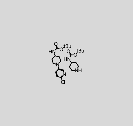 CC(C)(C)OC(=O)NC1CCN(c2ccc(Cl)nc2)CC1.CC(C)(C)OC(=O)NC1CCNCC1